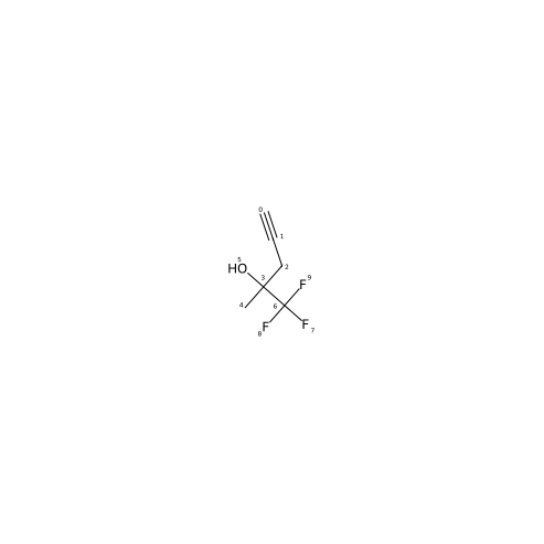 C#CCC(C)(O)C(F)(F)F